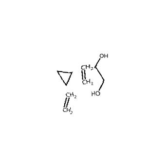 C1CC1.C=C.C=C.OCCO